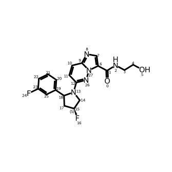 O=C(NCCO)c1cnc2ccc(N3C[C@@H](F)CC3c3cccc(F)c3)nn12